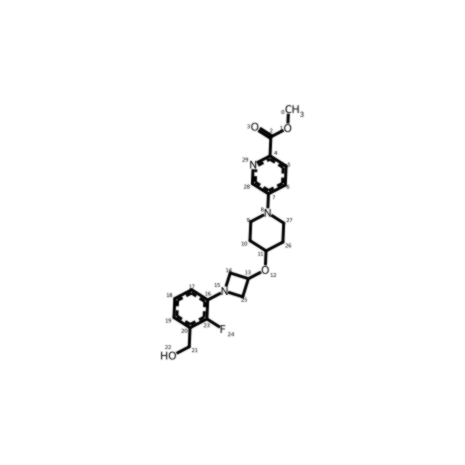 COC(=O)c1ccc(N2CCC(OC3CN(c4cccc(CO)c4F)C3)CC2)cn1